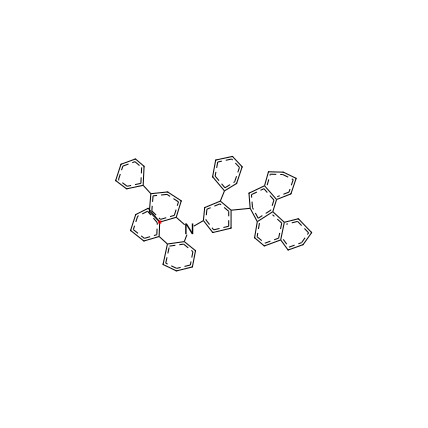 c1ccc(-c2ccc(N(c3ccc(-c4cc5ccccc5c5c4ccc4ccccc45)c(-c4ccccc4)c3)c3ccccc3-c3ccccc3)cc2)cc1